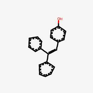 Oc1ccc(C=C(c2ccccc2)c2ccccc2)cc1